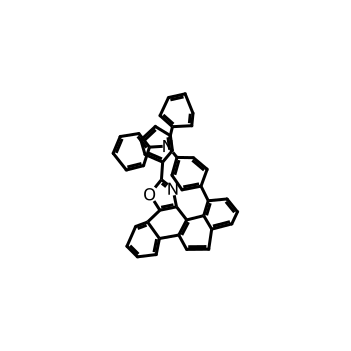 c1ccc(-c2nc3c(o2)c2ccccc2c2ccc4cccc(-c5ccc(N(c6ccccc6)c6ccccc6)cc5)c4c23)cc1